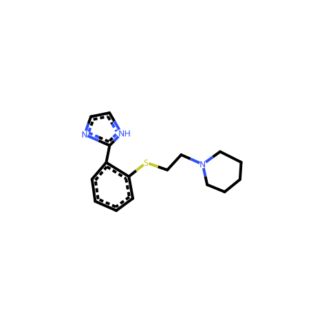 c1ccc(-c2ncc[nH]2)c(SCCN2CCCCC2)c1